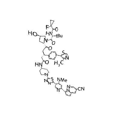 CNc1cc(-c2ccc3cc(C#N)cnn23)ncc1-c1nnc(N2CCC(NC(=O)C[C@H](CC(=O)[C@@H]3C[C@@H](O)CN3C(=O)[C@@H](NC(=O)C3(F)CC3)C(C)(C)C)c3ccc(-c4scnc4C)cc3)CC2)s1